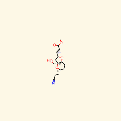 COC(=O)/C=C/C1C[C@]2(CO)O[C@@H](CCC#N)CCC2O1